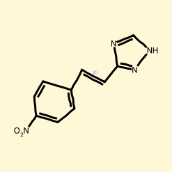 O=[N+]([O-])c1ccc(/C=C/c2nc[nH]n2)cc1